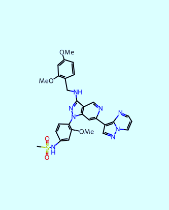 COc1ccc(CNc2nn(-c3ccc(NS(C)(=O)=O)cc3OC)c3cc(-c4cnn5cccnc45)ncc23)c(OC)c1